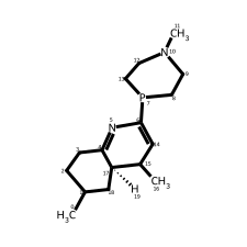 CC1CCC2=NC(P3CCN(C)CC3)=CC(C)[C@H]2C1